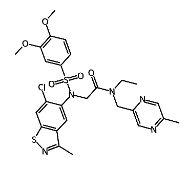 CCN(Cc1cnc(C)cn1)C(=O)CN(c1cc2c(C)nsc2cc1Cl)S(=O)(=O)c1ccc(OC)c(OC)c1